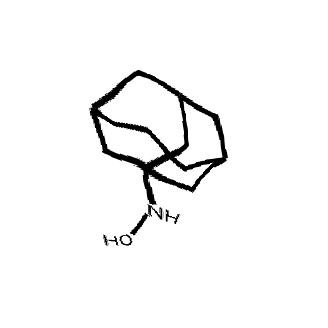 ONC12CC3CC(CC(C3)C1)C2